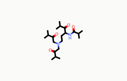 CC(C)C(=O)CN(CCC(NC(=O)C(C)C)C(=O)C(C)C)CC(=O)C(C)C